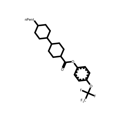 CCCCCC1CCC(C2CCC(C(=O)Oc3ccc(OC(F)(F)C(F)(F)F)cc3)CC2)CC1